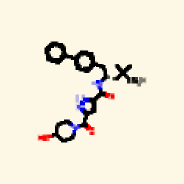 CC(C)(C[C@@H](Cc1ccc(-c2ccccc2)cc1)NC(=O)c1cc(C(=O)N2CCC(O)CC2)n[nH]1)C(=O)O